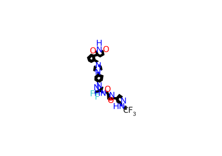 O=C1CCC(c2ccccc2CN2CCN(c3ccc(-n4cc(NC(=O)c5coc(-c6ccnc(NCC(F)(F)F)c6)n5)c(C(F)F)n4)cc3)CC2)C(=O)N1